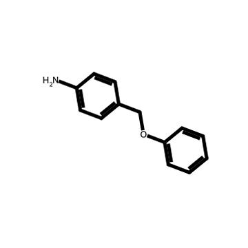 Nc1ccc(COc2ccccc2)cc1